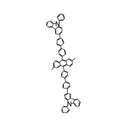 Cc1ccc2c(-c3ccc(-c4ccc(-c5ccc6c(c5)c5ccccc5n6-c5ccccc5)cc4)cc3)c3cc(C)ccc3c(-c3ccc(-c4ccc(-c5ccc6c(c5)c5ccccc5n6-c5ccccc5)cc4)cc3)c2c1